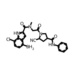 Bc1ccc(Cl)c2[nH]c(C(=O)N(C)CC(=O)N3CC(C(=O)Nc4ccccc4)CC3C#N)cc12